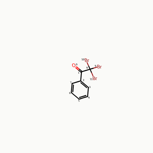 O=C(c1cc[c]cc1)C(Br)(Br)Br